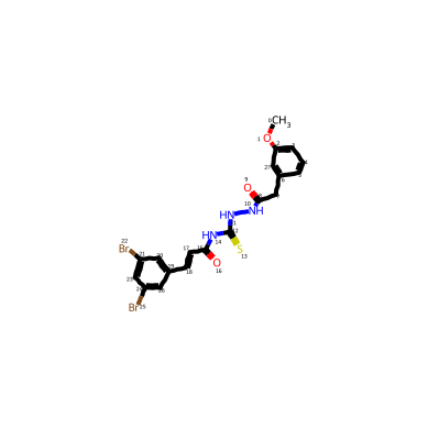 COc1cccc(CC(=O)NNC(=S)NC(=O)/C=C/c2cc(Br)cc(Br)c2)c1